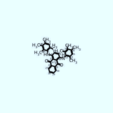 Cc1cc(C)c(Nc2ccc(Nc3c(C)cc(C)c(C)c3C)c3c2C(=O)c2ccccc2C3=O)c(C)c1C